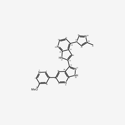 COc1cncc(-c2cnc3[nH]nc(-c4cc5c(-n6cnc(C)c6)ccnc5[nH]4)c3c2)c1